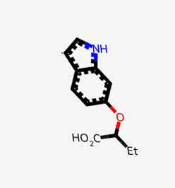 CCC(Oc1ccc2[c]c[nH]c2c1)C(=O)O